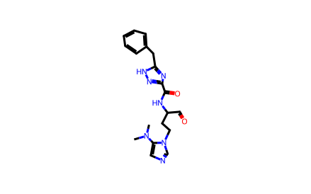 CN(C)c1cncn1CCC(C=O)NC(=O)c1n[nH]c(Cc2ccccc2)n1